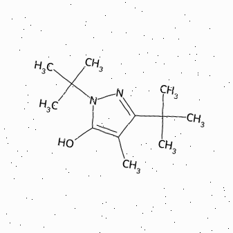 Cc1c(C(C)(C)C)nn(C(C)(C)C)c1O